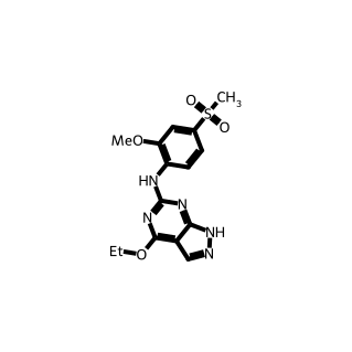 CCOc1nc(Nc2ccc(S(C)(=O)=O)cc2OC)nc2[nH]ncc12